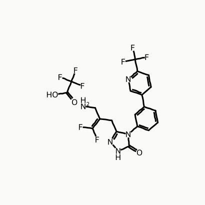 NCC(Cc1n[nH]c(=O)n1-c1cccc(-c2ccc(C(F)(F)F)nc2)c1)=C(F)F.O=C(O)C(F)(F)F